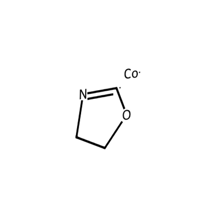 [C]1=NCCO1.[Co]